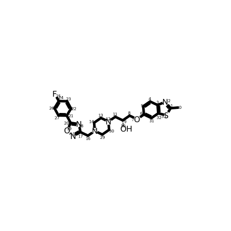 Cc1nc2ccc(OC[C@H](O)CN3CCN(Cc4noc(-c5ccc(F)cc5)n4)CC3)cc2s1